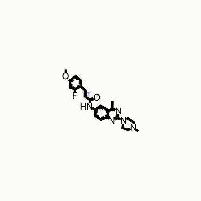 COc1ccc(/C=C/C(=O)Nc2ccc3nc(N4CCN(C)CC4)nc(C)c3c2)c(F)c1